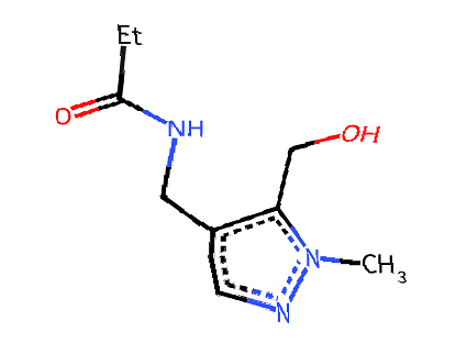 CCC(=O)NCc1cnn(C)c1CO